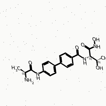 C[C@H](N)C(=O)Nc1ccc(-c2ccc(C(=O)N[C@H](C(=O)NO)[C@H](C)O)cc2)cc1